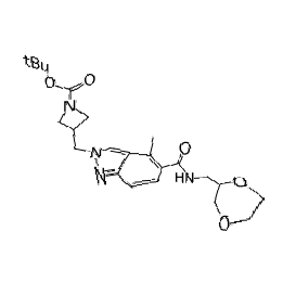 Cc1c(C(=O)NCC2COCCO2)ccc2nn(CC3CN(C(=O)OC(C)(C)C)C3)cc12